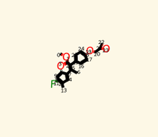 COC(=O)C(=C(C)c1ccc(F)c(C)c1)c1ccc(OCC2CO2)cc1